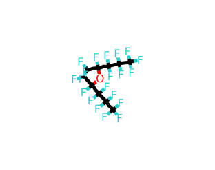 FC(F)C(F)(OC(F)(C(F)F)C(F)(F)C(F)(F)C(F)(F)F)C(F)(F)C(F)(F)C(F)(F)F